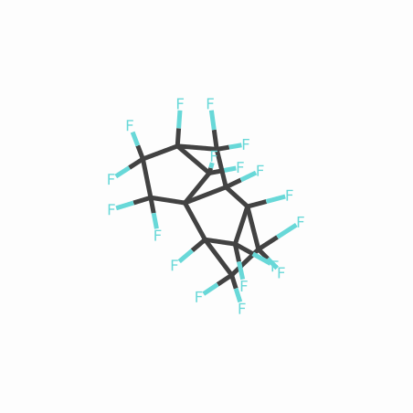 FC1(F)C(F)(F)C23C(F)(F)C1(F)C(F)(F)C2(F)C1(F)C(F)(F)C(F)(F)C3(F)C1(F)F